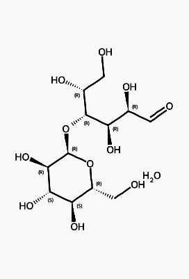 O.O=C[C@H](O)[C@@H](O)[C@H](O[C@H]1O[C@H](CO)[C@@H](O)[C@H](O)[C@H]1O)[C@H](O)CO